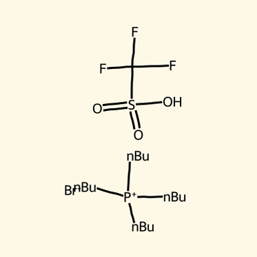 CCCC[P+](CCCC)(CCCC)CCCC.O=S(=O)(O)C(F)(F)F.[Br-]